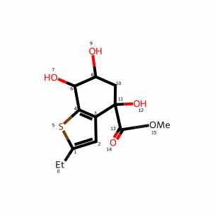 CCc1cc2c(s1)C(O)C(O)CC2(O)C(=O)OC